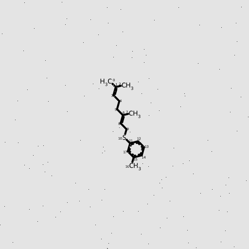 CC(C)=CCC/C(C)=C/CSc1cccc(C)c1